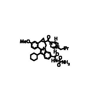 COc1ccc2c(c1)C1CC1(C(=O)N1C[C@H]3C[C@@H]1CN3CC(C)C)Cn1c-2c(C2CCCCC2)c2ccc(C(=O)NS(N)(=O)=O)cc21